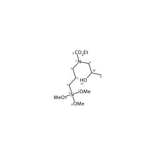 CCOC(=O)N(CCC[Si](OC)(OC)OC)CC(C)O